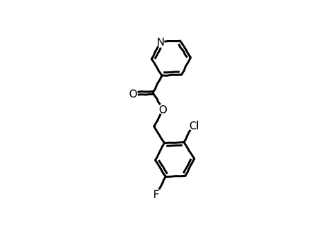 O=C(OCc1cc(F)ccc1Cl)c1cccnc1